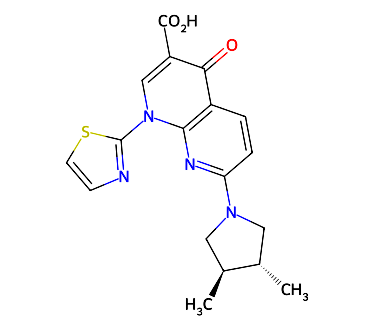 C[C@H]1CN(c2ccc3c(=O)c(C(=O)O)cn(-c4nccs4)c3n2)C[C@@H]1C